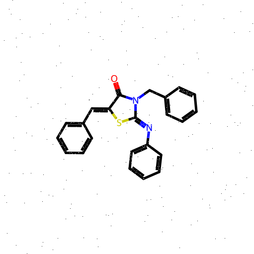 O=C1C(=Cc2ccccc2)SC(=Nc2ccccc2)N1Cc1ccccc1